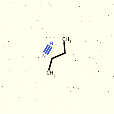 CCCC.N#N